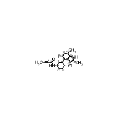 CC#CC(=O)N[C@@H]1C=C(c2c(F)cc(C)c3[nH]c(C)c(Cl)c23)CCC1